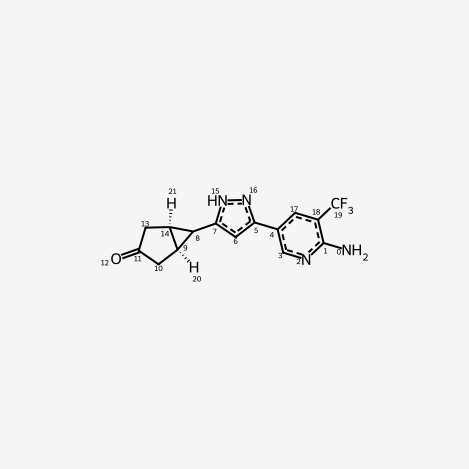 Nc1ncc(-c2cc(C3[C@H]4CC(=O)C[C@@H]34)[nH]n2)cc1C(F)(F)F